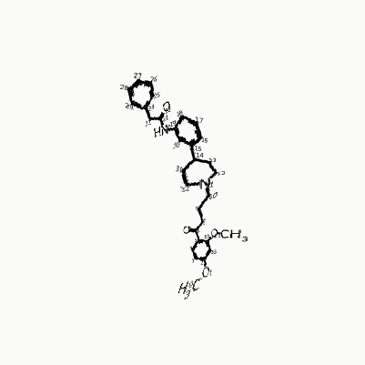 COc1ccc(C(=O)CCCN2CCC(c3cccc(NC(=O)Cc4ccccc4)c3)CC2)c(OC)c1